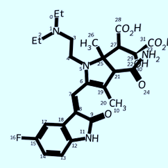 CCN(CC)CCN1C(/C=C2\C(=O)Nc3ccc(F)cc32)=C(C)C(C(N)=O)C1(C)C(C(=O)O)[C@H](O)C(=O)O